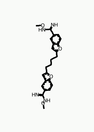 CONC(=N)c1ccc2oc(CCCCc3cc4cc(C(=N)NOC)ccc4o3)cc2c1